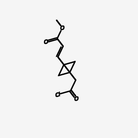 COC(=O)/C=C/C12CC1(CC(=O)Cl)C2